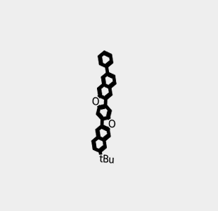 CC(C)(C)c1ccc2cc3c(cc2c1)oc1cc2c(cc13)oc1cc3cc(-c4ccccc4)ccc3cc12